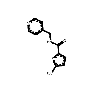 CC(C)(C)c1ccc(C(=O)NCc2ccncc2)s1